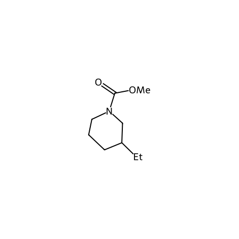 CCC1CCCN(C(=O)OC)C1